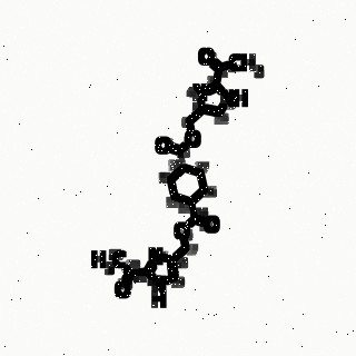 CC(=O)c1nc(COC(=O)[C@H]2CC[C@H](C(=O)OCc3c[nH]c(C(C)=O)n3)CC2)c[nH]1